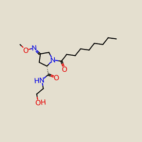 CCCCCCCCC(=O)N1C/C(=N/OC)C[C@H]1C(=O)NCCO